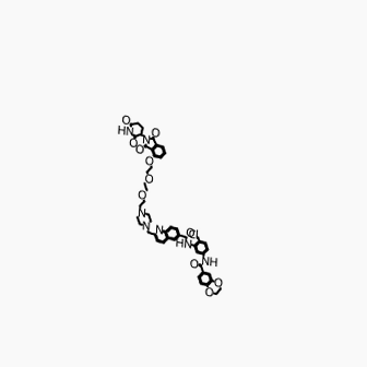 O=C1CCC(N2C(=O)c3cccc(OCCOCCOCCN4CCN(Cc5ccc6cc(C(=O)Nc7cc(NC(=O)c8ccc9c(c8)OCCO9)ccc7Cl)ccc6n5)CC4)c3C2=O)C(=O)N1